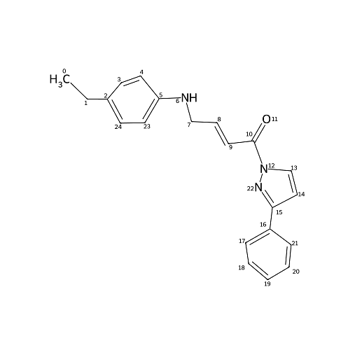 CCc1ccc(NC/C=C/C(=O)n2ccc(-c3ccccc3)n2)cc1